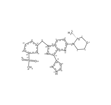 C[C@@H]1COCCN1c1ccc2c(n1)c(-c1cc[nH]n1)nn2Cc1cccc(S(C)(=O)=O)c1